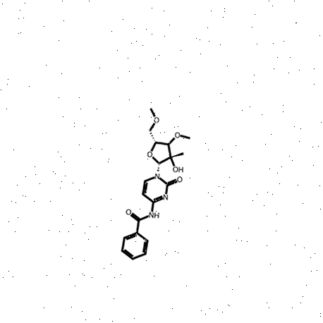 COC[C@H]1O[C@@H](n2ccc(NC(=O)c3ccccc3)nc2=O)[C@@](C)(O)C1OC